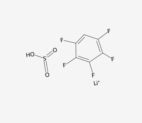 Fc1cc(F)c(F)c(F)c1F.O=[S-](=O)O.[Li+]